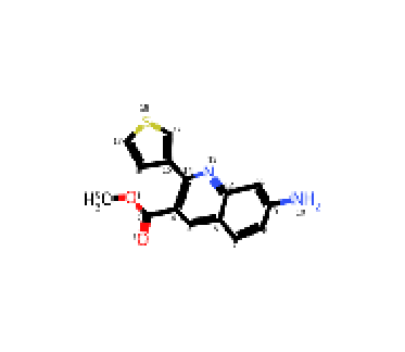 COC(=O)c1cc2ccc(N)cc2nc1-c1ccsc1